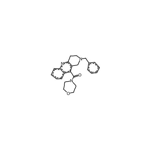 O=C(c1c2c(nc3ccccc13)CCN(Cc1ccccc1)C2)N1CCOCC1